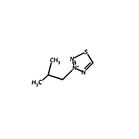 CC(C)C[n+]1ncsn1